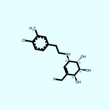 Cc1cc(CCN[C@@H]2C=C(CF)[C@H](O)[C@H](O)[C@H]2O)ccc1Cl